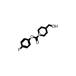 O=C(Oc1ccc(F)cc1)N1CCC(CO)CC1